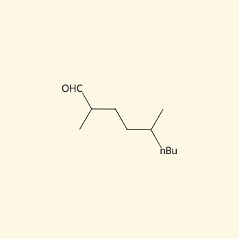 CCCCC(C)CCC(C)C=O